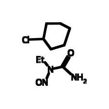 CCN(N=O)C(N)=O.ClC1CCCCC1